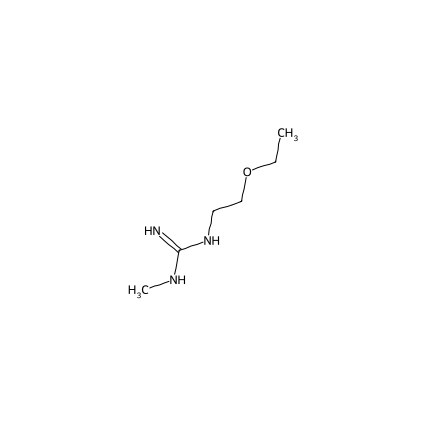 CCOCCNC(=N)NC